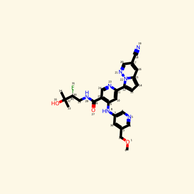 COCc1cncc(Nc2cc(-c3ccc4cc(C#N)cnn34)ncc2C(=O)NC[C@@H](F)C(C)(C)O)c1